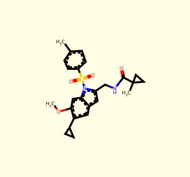 COc1cc2c(cc1C1CC1)cc(CNC(=O)C1(C)CC1)n2S(=O)(=O)c1ccc(C)cc1